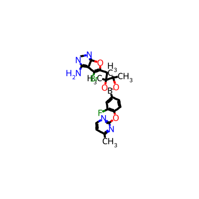 Cc1ccnc(Oc2ccc(B3OC(C)(C)C(C)(Cc4oc5ncnc(N)c5c4Br)O3)cc2F)n1